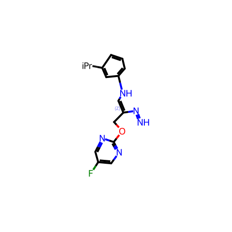 CC(C)c1cccc(N/C=C(/COc2ncc(F)cn2)N=N)c1